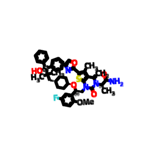 C=C1c2c(sc(-c3ncco3)c2C)N(C[C@H](O[C@H]2CC[C@@H](CC(C)(C)[Si](O)(c3ccccc3)c3ccccc3)CC2)c2cc(F)ccc2OC)C(=O)N1[C@@H](C)C(N)=O